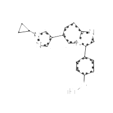 CC(C)Oc1ccc(-c2cnc3ccc(-c4cnn(C5CC5)c4)cn23)cc1